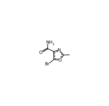 Cc1nc(C(N)=O)c(Br)o1